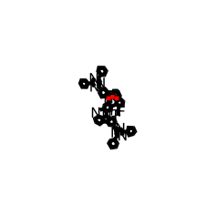 N#Cc1cc(-n2c3ccccc3c3cc(-c4nc(-c5ccccc5)nc(-c5ccccc5)n4)ccc32)c(-c2c(C(F)(F)F)cccc2C(F)(F)F)cc1-n1c2ccccc2c2cc(-c3nc(-c4ccccc4)nc(-c4ccccc4)n3)ccc21